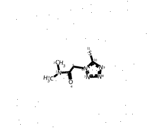 CN(C)C(=O)Cn1nnnc1[S]